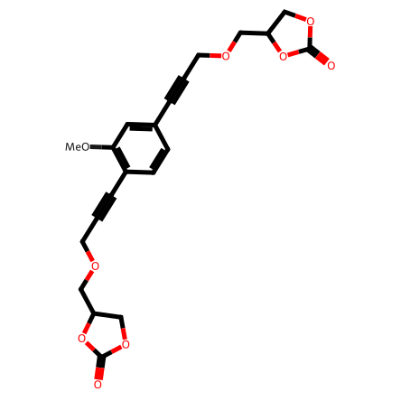 COc1cc(C#CCOCC2COC(=O)O2)ccc1C#CCOCC1COC(=O)O1